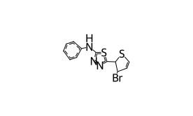 BrC1C=CSC1c1nnc(Nc2ccccc2)s1